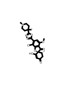 COc1cc(-c2nnc(C3(F)CCN(C)CC3)o2)c(Cl)c2c1C(=O)[C@@]1(O2)C(O)=CC(=O)C[C@H]1C